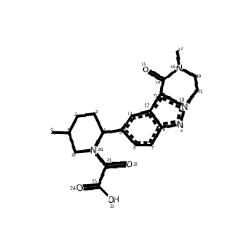 CC1CCC(c2ccc3nn4c(c3c2)C(=O)N(C)CC4)N(C(=O)C(=O)O)C1